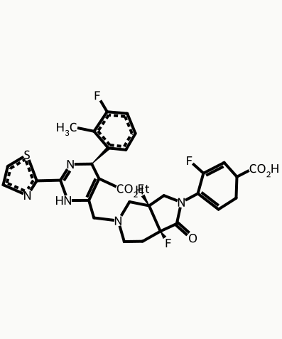 CCOC(=O)C1=C(CN2CC[C@@]3(F)C(=O)N(C4=CCC(C(=O)O)C=C4F)C[C@H]3C2)NC(c2nccs2)=N[C@H]1c1cccc(F)c1C